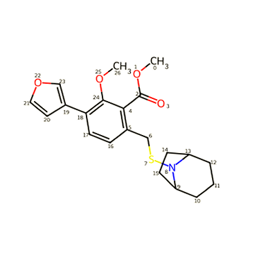 COC(=O)c1c(CSN2C3CCCC2CC3)ccc(-c2ccoc2)c1OC